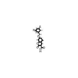 O=C(O)c1cc2ccc(OCc3cc(F)cc(F)c3)cc2oc1=O